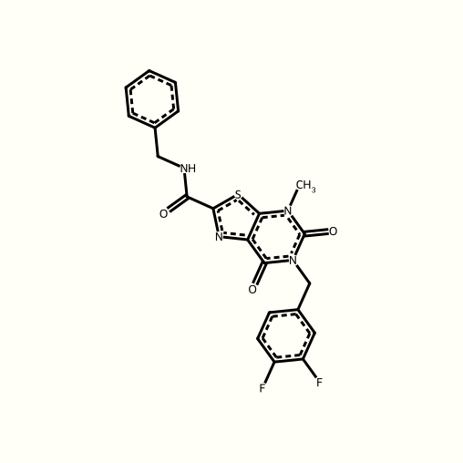 Cn1c(=O)n(Cc2ccc(F)c(F)c2)c(=O)c2nc(C(=O)NCc3ccccc3)sc21